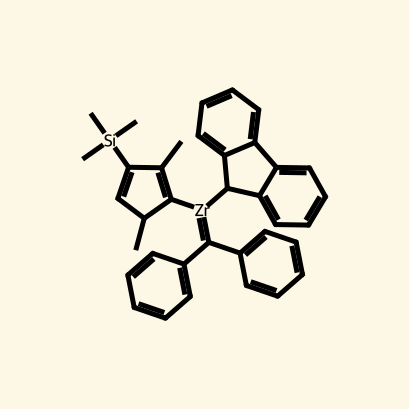 CC1=[C]([Zr](=[C](c2ccccc2)c2ccccc2)[CH]2c3ccccc3-c3ccccc32)C(C)C=C1[Si](C)(C)C